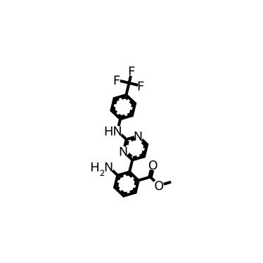 COC(=O)c1cccc(N)c1-c1ccnc(Nc2ccc(C(F)(F)F)cc2)n1